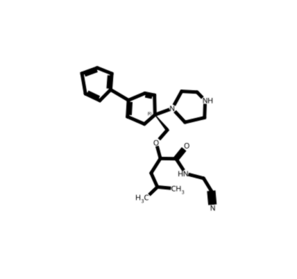 CC(C)CC(OC[C@]1(N2CCNCC2)C=CC(c2ccccc2)=CC1)C(=O)NCC#N